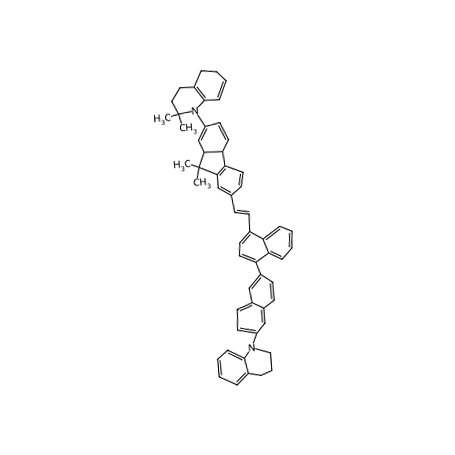 CC1(C)c2cc(/C=C/c3ccc(-c4ccc5cc(N6CCCc7ccccc76)ccc5c4)c4ccccc34)ccc2C2C=CC(N3C4=C(CCC=C4)CCC3(C)C)=CC21